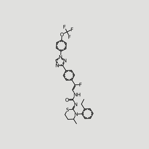 CCc1ccccc1N1/C(=N/C(=O)N/C=C(\F)c2ccc(-c3ncn(-c4ccc(OC(F)(F)F)cc4)n3)cc2)SCCC1C